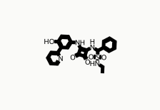 CCNS(=O)(=O)C(Nc1c(Nc2ccc(O)c(-c3ccccn3)c2)c(=O)c1=O)c1ccccc1